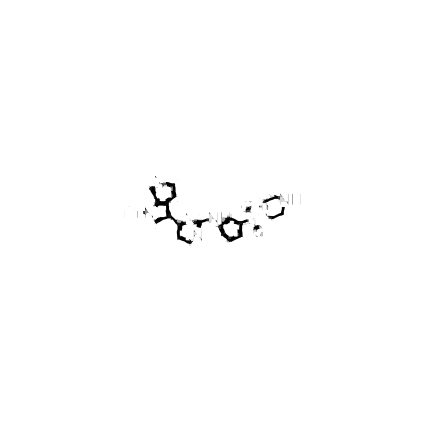 CC(C)n1cc(-c2ccnc(Nc3cccc(S(=O)(=O)N4CCNCC4)c3)n2)c2ccncc21